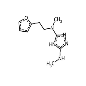 CNc1nnc(N(C)CCc2ccco2)[nH]1